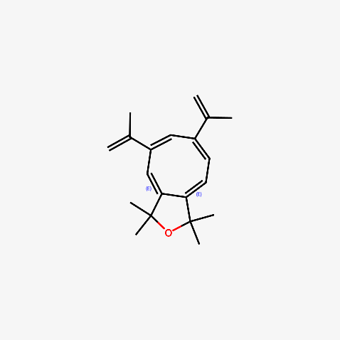 C=C(C)C1=C/C=C2\C(=C/C(C(=C)C)=C1)C(C)(C)OC2(C)C